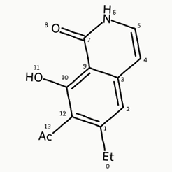 CCc1cc2cc[nH]c(=O)c2c(O)c1C(C)=O